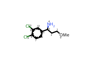 COCCC(N)c1ccc(Cl)c(Cl)c1